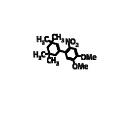 COc1cc(C2=CC(C)(C)CC(C)(C)C2)c([N+](=O)[O-])cc1OC